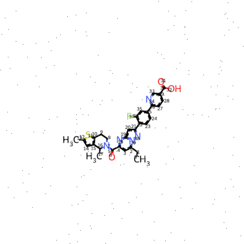 CCc1cc(C(=O)N2CCc3sc(C)cc3C2C)nc2cc(-c3ccc(-c4ccc(C(=O)O)cn4)cc3F)nn12